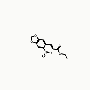 CCOC(=O)C=Cc1cc2c(cc1[N+](=O)[O-])OCO2